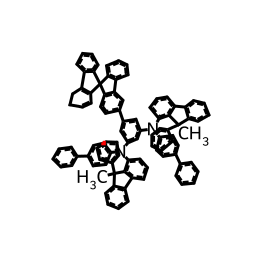 CC1(c2ccccc2)c2ccccc2-c2cccc(N(c3ccc(-c4ccccc4)cc3)c3cc(-c4ccc5c(c4)-c4ccccc4C54C5=C(CCC=C5)c5ccccc54)cc(N(c4ccc(-c5ccccc5)cc4)c4cccc5c4C(C)(c4ccccc4)c4ccccc4-5)c3)c21